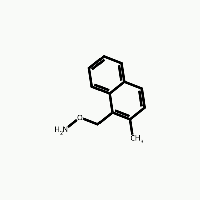 Cc1ccc2ccccc2c1CON